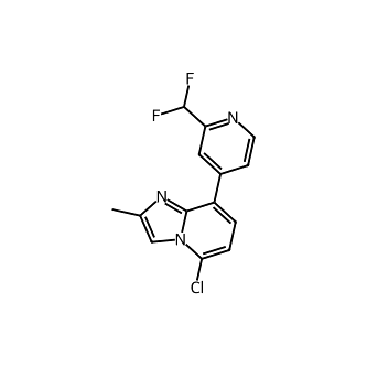 Cc1cn2c(Cl)ccc(-c3ccnc(C(F)F)c3)c2n1